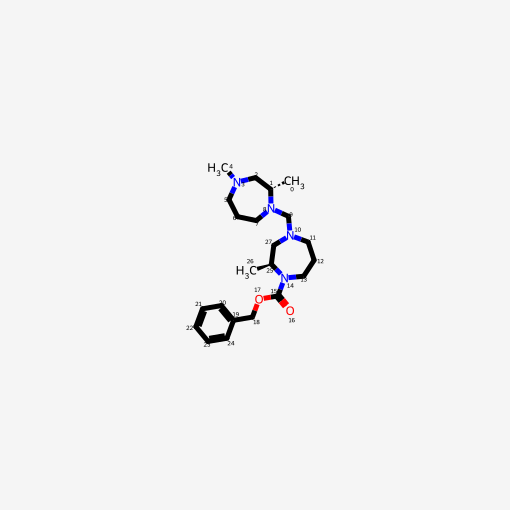 C[C@H]1CN(C)CCCN1CN1CCCN(C(=O)OCc2ccccc2)[C@@H](C)C1